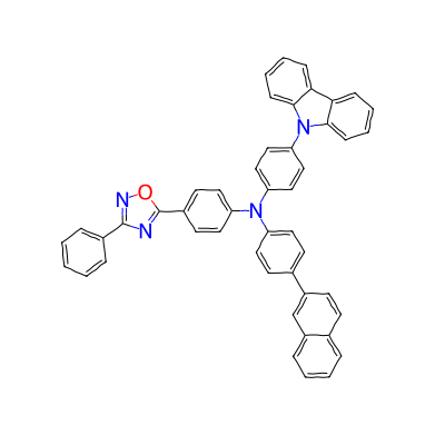 c1ccc(-c2noc(-c3ccc(N(c4ccc(-c5ccc6ccccc6c5)cc4)c4ccc(-n5c6ccccc6c6ccccc65)cc4)cc3)n2)cc1